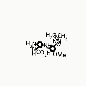 COc1cc(CNc2ccc(N)c(C(=N)C(=O)O)c2)cc(-c2nc(N(C)C)no2)c1